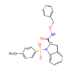 COc1ccc(S(=O)(=O)N2c3ccccc3C[C@@H]2C(=O)NOCc2ccccc2)cc1